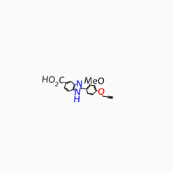 C#CCOc1ccc(-c2nc3cc(C(=O)O)ccc3[nH]2)c(OC)c1